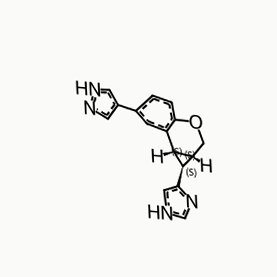 c1nc([C@@H]2[C@H]3COc4ccc(-c5cn[nH]c5)cc4[C@H]32)c[nH]1